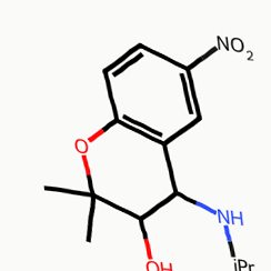 CC(C)NC1c2cc([N+](=O)[O-])ccc2OC(C)(C)C1O